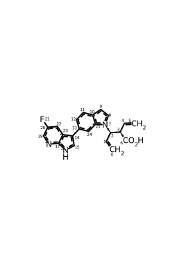 C=C[C@H]([C@@H](C=C)C(=O)O)n1ccc2ccc(-c3c[nH]c4ncc(F)cc34)cc21